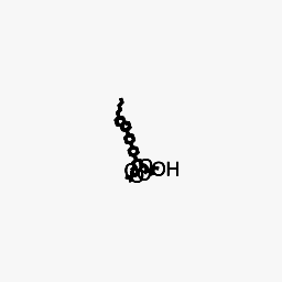 C=C(C)C(=O)OCCC(CCOC(=O)C(=C)CO)C1CCC(C2CC=C(c3ccc4cc(CCCCC)ccc4c3)CC2)CC1